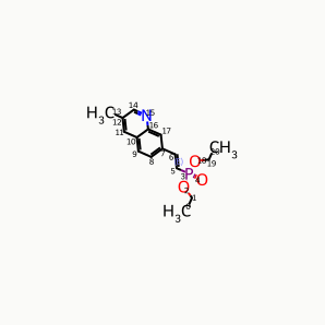 CCOP(=O)(/C=C/c1ccc2cc(C)cnc2c1)OCC